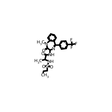 CCCS(=O)(=O)NC(C)C(=O)NC1N=C(c2ccc(C(F)(F)F)cc2)c2ccccc2N(C)C1=O